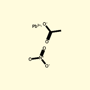 CC(=O)[O-].O=[N+]([O-])[O-].[Pb+2]